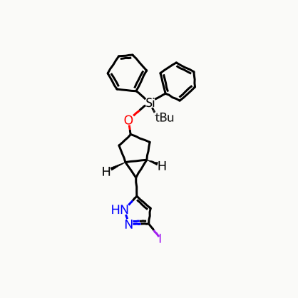 CC(C)(C)[Si](OC1C[C@@H]2C(c3cc(I)n[nH]3)[C@@H]2C1)(c1ccccc1)c1ccccc1